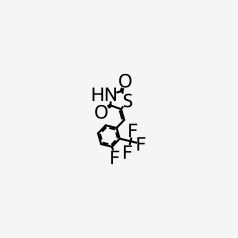 O=C1NC(=O)/C(=C\c2cccc(F)c2C(F)(F)F)S1